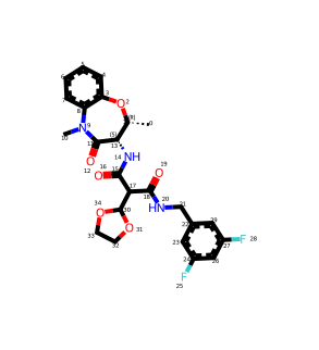 C[C@H]1Oc2ccccc2N(C)C(=O)[C@H]1NC(=O)C(C(=O)NCc1cc(F)cc(F)c1)C1OCCO1